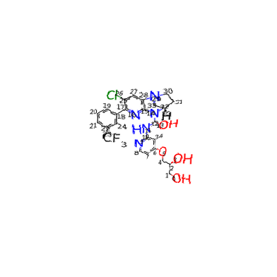 OC[C@H](O)COc1ccnc(NC(O)N2c3nc(-c4cccc(C(F)(F)F)c4)c(Cl)cc3N3CC[C@H]2C3)c1